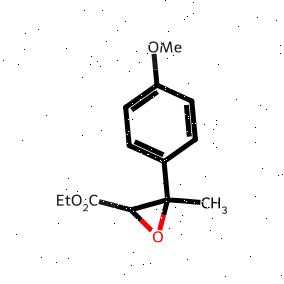 CCOC(=O)C1OC1(C)c1ccc(OC)cc1